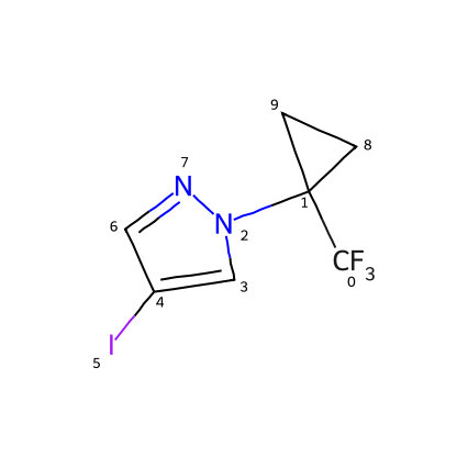 FC(F)(F)C1(n2cc(I)cn2)CC1